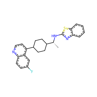 C[C@@H](Nc1nc2ccccc2s1)C1CCC(c2ccnc3ccc(F)cc23)CC1